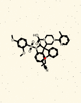 CCOc1ccccc1C1(C2CN(c3ncccc3C)CCN2C(=O)O)C(=O)N(S(=O)(=O)c2ccc(OC)cc2OC)c2ccc(C#N)cc21